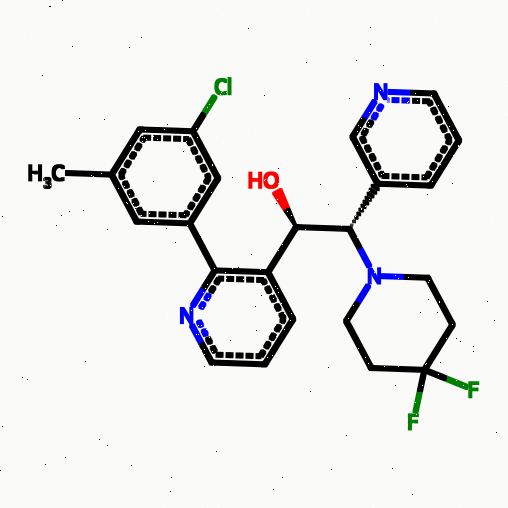 Cc1cc(Cl)cc(-c2ncccc2[C@@H](O)[C@H](c2cccnc2)N2CCC(F)(F)CC2)c1